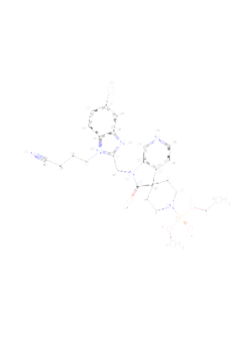 CCOP(=O)(OC)N1CCC2(CC1)C(=O)N(Cc1nc3cc(Cl)ccc3n1CCCC#N)c1cnccc12